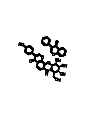 O=c1c(-c2ccc(O)cc2)coc2c(O[C@@H]3O[C@H](CO)[C@@H](O)[C@H](O)[C@H]3O)c(O)ccc12.O=c1c(-c2ccccc2)coc2ccccc12